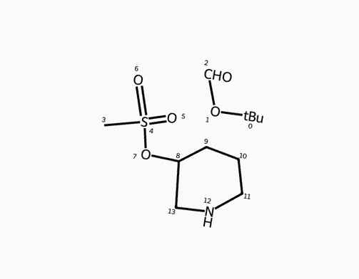 CC(C)(C)OC=O.CS(=O)(=O)OC1CCCNC1